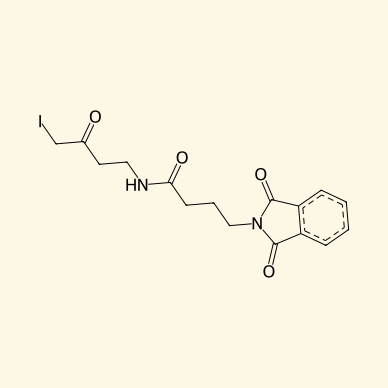 O=C(CI)CCNC(=O)CCCN1C(=O)c2ccccc2C1=O